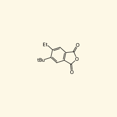 CCc1cc2c(cc1C(C)(C)C)C(=O)OC2=O